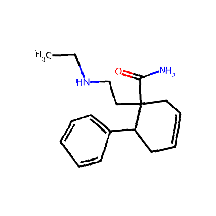 CCNCCC1(C(N)=O)CC=CCC1c1ccccc1